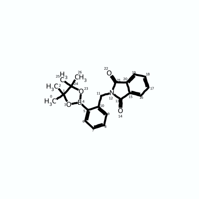 CC1(C)OB(c2ccccc2CN2C(=O)c3ccccc3C2=O)OC1(C)C